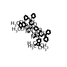 CC1(C)CC(C)(C)c2cc(N3c4cncnc4B4c5cc6c(cc5Oc5nc(N(c7ccccc7)c7ccccc7)cc3c54)Oc3nc(N(c4ccccc4)c4ccccc4)cc4c3B6c3ncncc3N4c3ccc4c(c3)C(C)(C)CC4(C)C)ccc21